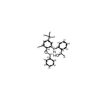 Cc1cc(C(C)(C)C)cc(Pc2ccccc2C(C)O)c1OCc1ccccc1